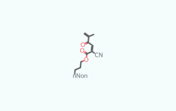 C=C(C)C(=O)C=C(C#N)C(=O)OCCCCCCCCCCCC